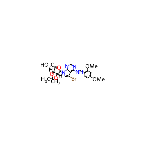 COc1ccc(CNc2ncnc3c2c(Br)cn3[C@@H]2O[C@H](C(=O)O)[C@H]3OC(C)(C)O[C@H]32)c(OC)c1